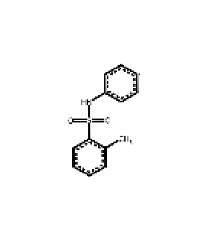 Cc1ccccc1S(=O)(=O)Nc1cc[c]cc1